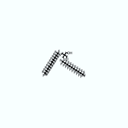 OCC(CCl)(CSC(F)(F)C(F)(F)C(F)(F)C(F)(F)C(F)(F)C(F)(F)C(F)(F)C(F)(F)C(F)(F)C(F)(F)F)CSC(F)(F)C(F)(F)C(F)(F)C(F)(F)C(F)(F)C(F)(F)C(F)(F)C(F)(F)C(F)(F)C(F)(F)F